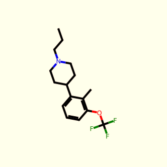 CCCN1CCC(c2cccc(OC(F)(F)F)c2C)CC1